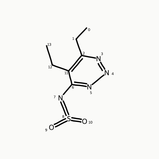 CCc1nnnc(N=S(=O)=O)c1CC